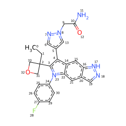 CCC1(c2c(-c3cnn(CC(N)=O)c3)c3cc4[nH]ncc4cc3n2-c2ccc(F)cc2)COC1